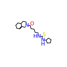 O=C(CCCCNC(=S)NC1CCCC1)N1CCC2CCCC=C2C1